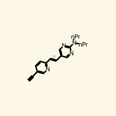 C#Cc1ccc(/C=C/c2cnc(N(CCC)CCC)nc2)nc1